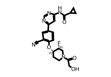 N#Cc1cc(-c2cc(NC(=O)C3CC3)ncn2)ccc1O[C@H]1CCN(C(=O)CO)C[C@H]1F